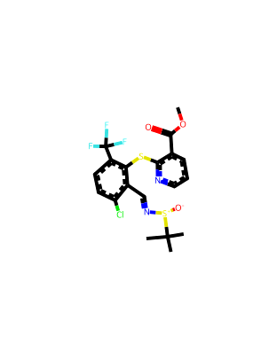 COC(=O)c1cccnc1Sc1c(C(F)(F)F)ccc(Cl)c1C=N[S+]([O-])C(C)(C)C